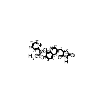 CC(Oc1ccc2cc(CC3SC(=O)NC3=O)cnc2c1)N(C)c1ccccn1